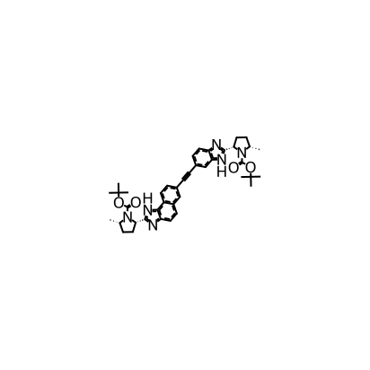 C[C@H]1CC[C@@H](c2nc3ccc(C#Cc4ccc5c(ccc6nc([C@@H]7CC[C@H](C)N7C(=O)OC(C)(C)C)[nH]c65)c4)cc3[nH]2)N1C(=O)OC(C)(C)C